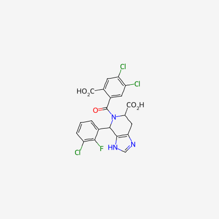 O=C(O)c1cc(Cl)c(Cl)cc1C(=O)N1C(C(=O)O)Cc2nc[nH]c2C1c1cccc(Cl)c1F